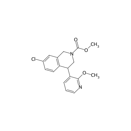 COC(=O)N1Cc2cc(Cl)ccc2C(c2cccnc2OC)C1